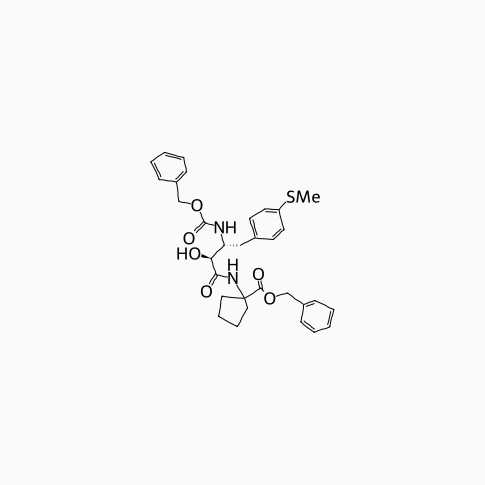 CSc1ccc(C[C@@H](NC(=O)OCc2ccccc2)[C@H](O)C(=O)NC2(C(=O)OCc3ccccc3)CCCC2)cc1